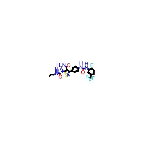 CCCNC(=O)Nc1snc(-c2ccc(NC(=O)Nc3cc(C(F)(F)F)ccc3F)cc2)c1C(N)=O